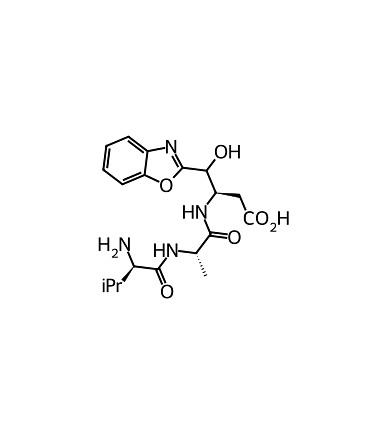 CC(C)[C@@H](N)C(=O)N[C@@H](C)C(=O)N[C@H](CC(=O)O)C(O)c1nc2ccccc2o1